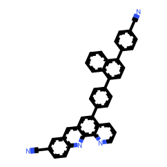 N#Cc1ccc(-c2ccc(-c3ccc(-c4cc5cc6cc(C#N)ccc6nc5c5ncccc45)cc3)c3ccccc23)cc1